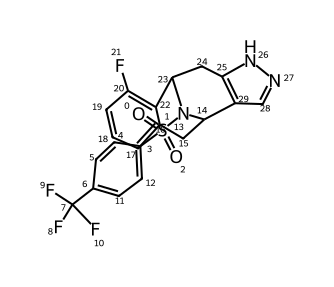 O=S(=O)(c1ccc(C(F)(F)F)cc1)N1C2Cc3cccc(F)c3C1Cc1[nH]ncc12